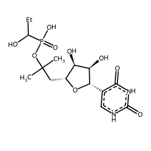 CCC(O)P(=O)(O)OC(C)(C)C[C@H]1O[C@@H](c2c[nH]c(=O)[nH]c2=O)[C@H](O)[C@@H]1O